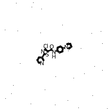 O=C(Nc1ccc(-n2cccc2)cc1)c1sc(-c2cccnc2)nc1Cl